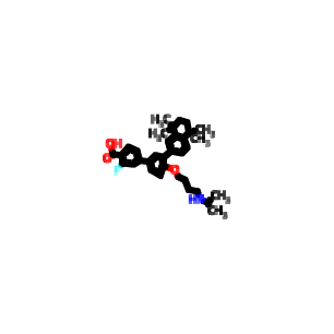 CC(C)NCCCCOc1ccc(-c2ccc(C(=O)O)c(F)c2)cc1-c1ccc2c(c1)C(C)(C)CCC2(C)C